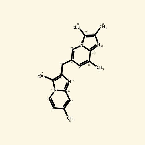 Cc1ccn2c(C(C)(C)C)c(Cc3cc(C)c4nc(C)c(C(C)(C)C)n4c3)nc2c1